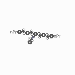 CCCc1ccc(C(=O)OC2CCC(C(=O)Oc3ccc(OC(=O)C4CCC(OC(=O)c5ccc(CCC)cc5)CC4)c(/C=C/c4nc5ccccc5s4)c3)CC2)cc1